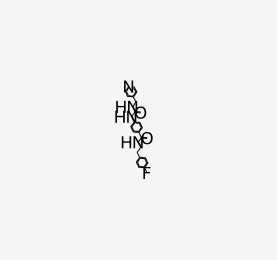 O=C(NCc1ccncc1)Nc1ccc(C(=O)NCCc2ccc(F)cc2)cc1